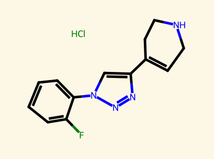 Cl.Fc1ccccc1-n1cc(C2=CCNCC2)nn1